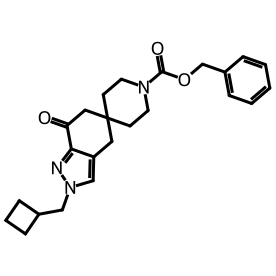 O=C1CC2(CCN(C(=O)OCc3ccccc3)CC2)Cc2cn(CC3CCC3)nc21